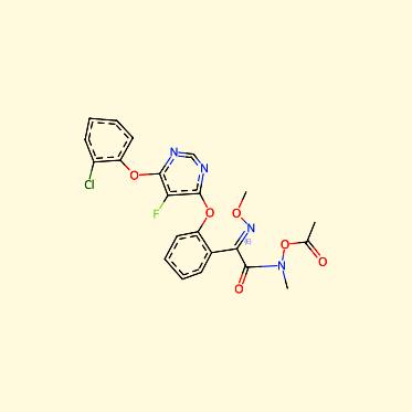 CO/N=C(/C(=O)N(C)OC(C)=O)c1ccccc1Oc1ncnc(Oc2ccccc2Cl)c1F